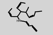 C=C/C=C/NC(/C=C\C)C(/C=C\C)C(C)/C=C\CC